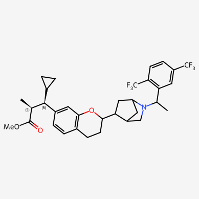 COC(=O)[C@@H](C)[C@H](c1ccc2c(c1)OC(C1CC3CC1CN3C(C)c1cc(C(F)(F)F)ccc1C(F)(F)F)CC2)C1CC1